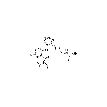 CCN(C(=O)c1cc(F)ccc1Oc1cncnc1N1CC(CNC(=O)O)C1)C(C)C